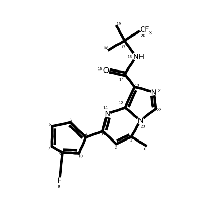 Cc1cc(-c2cccc(F)c2)nc2c(C(=O)NC(C)(C)C(F)(F)F)ncn12